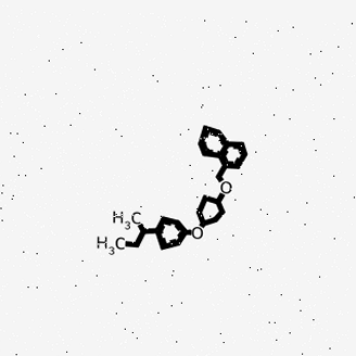 CCC(C)c1ccc(OC2CCC(OCc3cccc4ccccc34)CC2)cc1